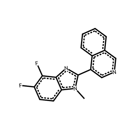 Cn1c(-c2cncc3ccccc23)nc2c(F)c(F)ccc21